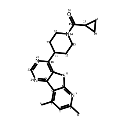 Cc1cc(C)c2c(n1)sc1c(C3CCN(C(=O)C4CC4)CC3)ncnc12